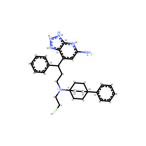 Nc1cc(C(CCN(CCF)C23CCC(c4ccccc4)(CC2)CC3)c2ccccc2)c2nn[nH]c2n1